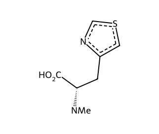 CN[C@@H](Cc1cscn1)C(=O)O